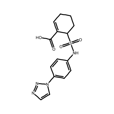 O=C(O)C1=CCCCC1S(=O)(=O)Nc1ccc(-n2ccnn2)cc1